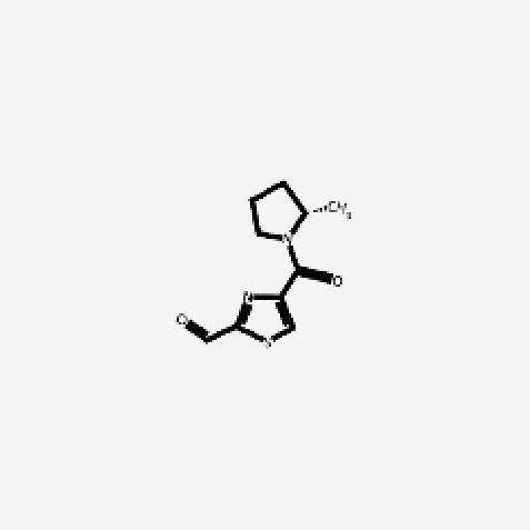 C[C@H]1CCCN1C(=O)c1csc(C=O)n1